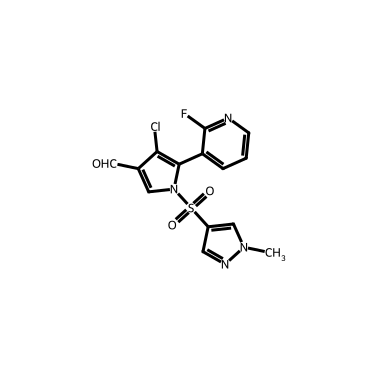 Cn1cc(S(=O)(=O)n2cc(C=O)c(Cl)c2-c2cccnc2F)cn1